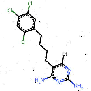 CCc1nc(N)nc(N)c1CCCCc1cc(Cl)c(Cl)cc1Cl